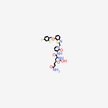 NC(=O)C=CCCC(NC(=O)O)C(=O)Nc1cccn(Cc2nc3cccc(OCc4ccc(F)cc4F)c3s2)c1=O